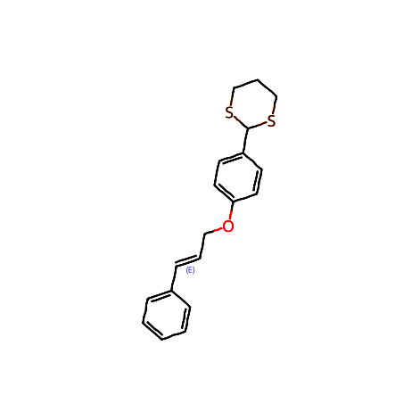 C(=C\c1ccccc1)/COc1ccc(C2SCCCS2)cc1